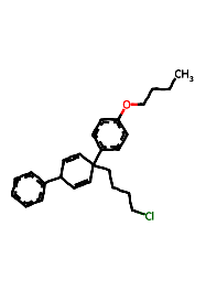 CCCCOc1ccc(C2(CCCCCl)C=CC(c3ccccc3)C=C2)cc1